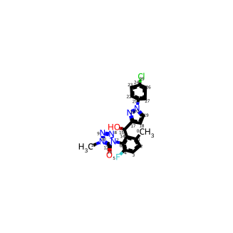 Cc1ccc(F)c(-n2nnn(C)c2=O)c1C(O)c1ccn(-c2ccc(Cl)cc2)n1